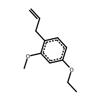 C=CCc1ccc(OCC)cc1OC